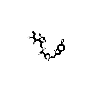 C=C/C(Cl)=C(/F)c1c(CNC(=O)c2cn(Cc3cc4ccc(Cl)cc4s3)nn2)ncn1C